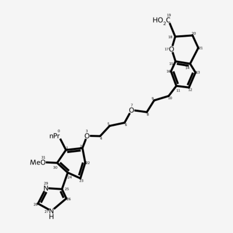 CCCc1c(OCCCOCCCc2ccc3c(c2)OC(C(=O)O)CC3)ccc(-c2c[nH]cn2)c1OC